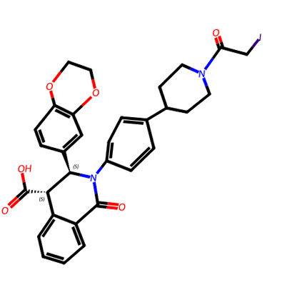 O=C(O)[C@H]1c2ccccc2C(=O)N(c2ccc(C3CCN(C(=O)CI)CC3)cc2)[C@@H]1c1ccc2c(c1)OCCO2